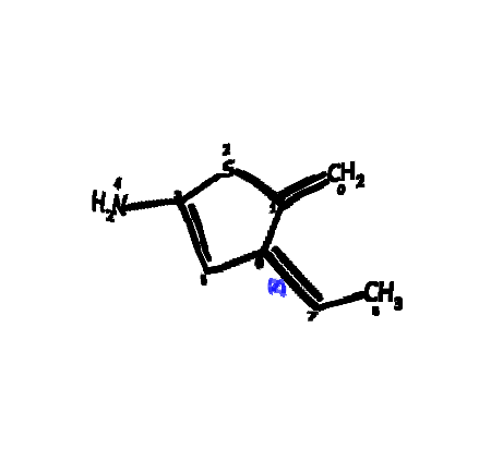 C=c1sc(N)c/c1=C/C